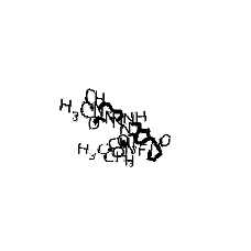 CC(C)N1CCc2cc(Nc3cc4cc(Cn5ccccc5=O)c(F)c(NC(=O)OC(C)(C)C)c4cn3)nn2CC1=O